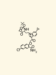 COC(=O)C(CCn1cc(C(=O)COc2cc3ccc(Cl)cc3cc2C(N)=O)c2ccc(C3CC3)cc21)NC(=O)OC(C)(C)C